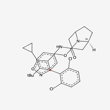 CC(C)(C)c1ccc(NC(=O)N2C3CC[C@H]2CC(OCc2c(-c4c(Cl)cccc4Cl)noc2C2CC2)C3)cc1